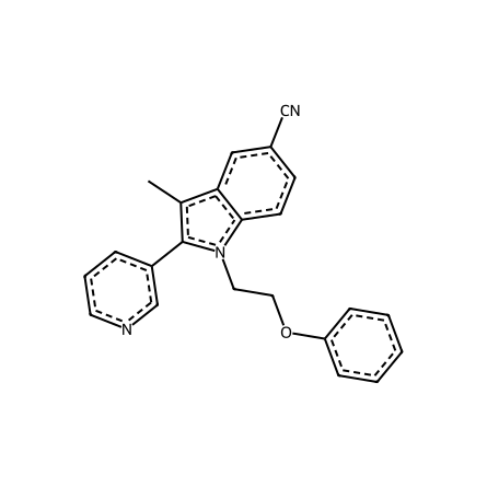 Cc1c(-c2cccnc2)n(CCOc2ccccc2)c2ccc(C#N)cc12